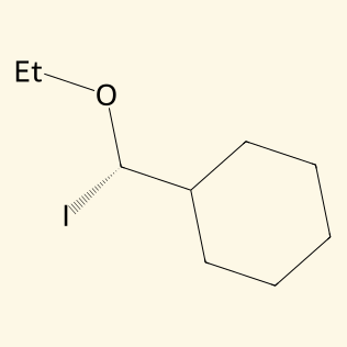 CCO[C@@H](I)C1CCCCC1